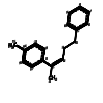 CC(=CCCc1ccccc1)c1ccc(C)cc1